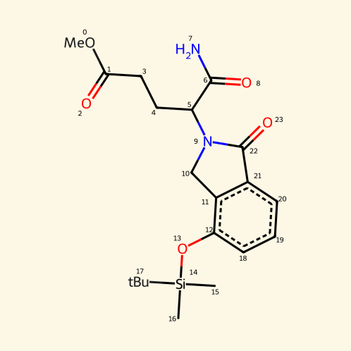 COC(=O)CCC(C(N)=O)N1Cc2c(O[Si](C)(C)C(C)(C)C)cccc2C1=O